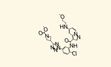 COCCNc1ccn2ncc(C(=O)Nc3cc(-n4nnc(C5CN(C(=O)OC)C5)n4)ccc3Cl)c2c1